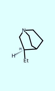 CC[C@H]1CN2CCC1CC2